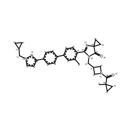 Cc1cc(-c2ccc(-c3ccn(CC4CC4)n3)cc2)ccc1C1=NC2(CC2)C(=O)N1CC1CN(C(=O)C2(C)CC2)C1